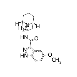 COc1ccc2[nH]nc(C(=O)N[C@H]3C[C@H]4CCC[C@@H](C3)N4C)c2c1